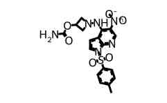 Cc1ccc(S(=O)(=O)n2ccc3c(NN4CC(OC(N)=O)C4)c([N+](=O)[O-])cnc32)cc1